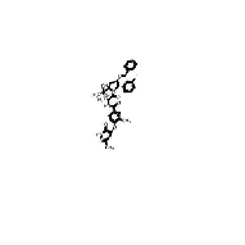 Cc1cc(Oc2ccc(C(=O)N[C@H](C)C(=O)N3C(C(C)(C)C#N)C[C@@H](OCc4ccccc4)[C@H]3c3cccc(F)c3)cc2C)c(=O)[nH]n1